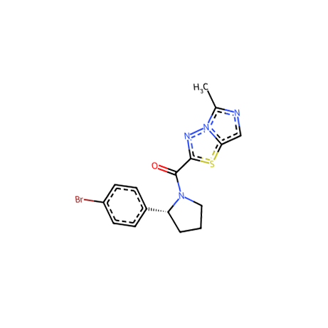 Cc1ncc2sc(C(=O)N3CCC[C@@H]3c3ccc(Br)cc3)nn12